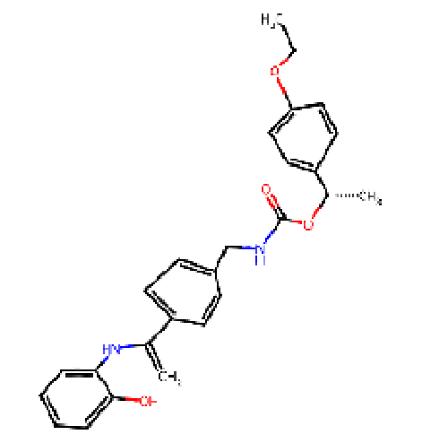 C=C(Nc1ccccc1O)c1ccc(CNC(=O)O[C@@H](C)c2ccc(OCC)cc2)cc1